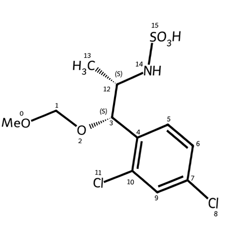 COCO[C@@H](c1ccc(Cl)cc1Cl)[C@H](C)NS(=O)(=O)O